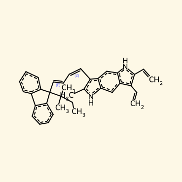 C=Cc1[nH]c2cc3c(/C=C\C=C\C4(C(C)(C)CC)c5ccccc5-c5ccccc54)c(C)[nH]c3cc2c1C=C